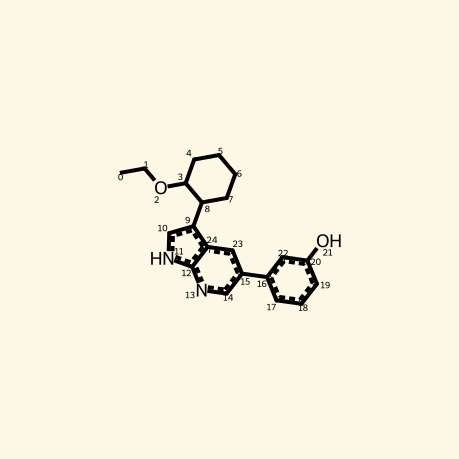 CCOC1CCCCC1c1c[nH]c2ncc(-c3cccc(O)c3)cc12